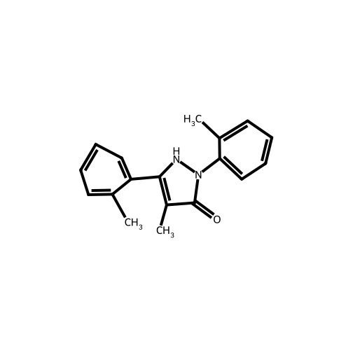 Cc1ccccc1-c1[nH]n(-c2ccccc2C)c(=O)c1C